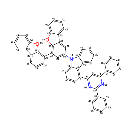 c1ccc(-c2cc(-c3cccc4c3c3ccccc3n4-c3cc(-c4cccc5c4oc4ccccc45)c4oc5ccccc5c4c3)nc(-c3ccccc3)n2)cc1